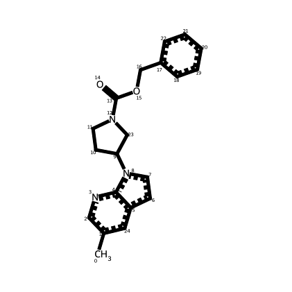 Cc1cnc2c(ccn2C2CCN(C(=O)OCc3ccccc3)C2)c1